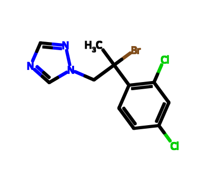 CC(Br)(Cn1cncn1)c1ccc(Cl)cc1Cl